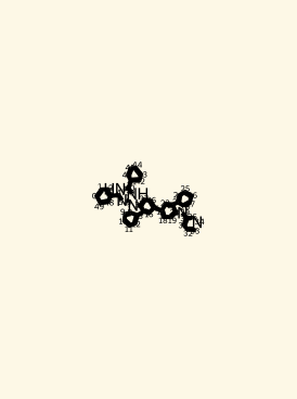 c1ccc(C2N=C(n3c4ccccc4c4cc(-c5ccc6c(c5)c5ccccc5n6-c5cccnc5)ccc43)NC(c3ccccc3)N2)cc1